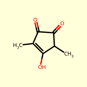 CC1=C(O)C(C)C(=O)C1=O